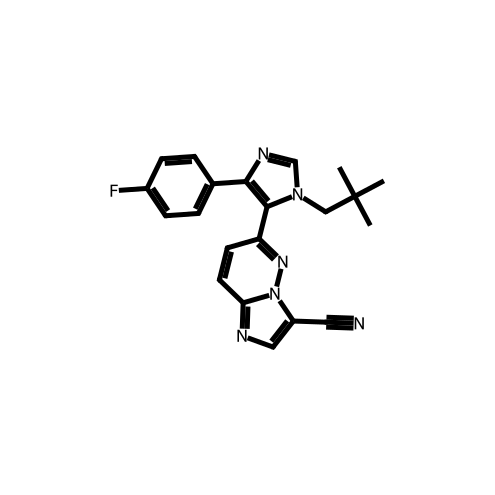 CC(C)(C)Cn1cnc(-c2ccc(F)cc2)c1-c1ccc2ncc(C#N)n2n1